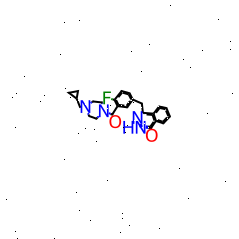 O=C(c1cc(Cc2n[nH]c(=O)c3ccccc23)ccc1F)N1CCN(CC2CC2)CC1